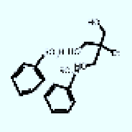 CCC(CO)(CO)CO.O=S(=O)(O)c1ccccc1.O=S(=O)(O)c1ccccc1